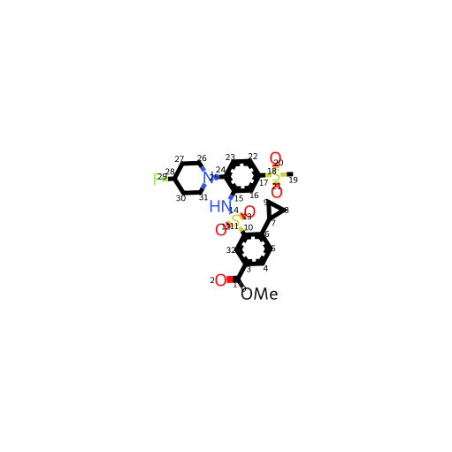 COC(=O)c1ccc(C2CC2)c(S(=O)(=O)Nc2cc(S(C)(=O)=O)ccc2N2CCC(F)CC2)c1